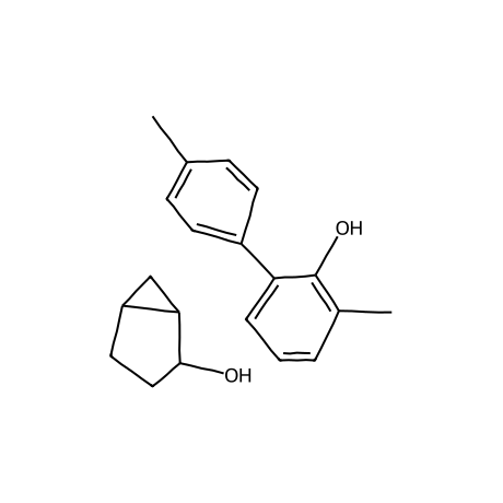 Cc1ccc(-c2cccc(C)c2O)cc1.OC1CCC2CC12